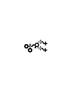 C=C1/C(=C\CP(=O)(c2ccccc2)c2ccccc2)CC(O[Si](C)(C)CCC(C)(C)C)CC1O[Si](C)(C)CCC(C)(C)C